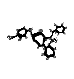 Nc1ccc(Oc2ccc(-c3ccccc3N)c(CCc3ccccc3)c2)cc1